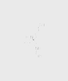 BCCCC[C@@](N)(CCNCC(C)C)C(=O)O